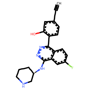 C#Cc1ccc(-c2nnc(N[C@@H]3CCCNC3)c3cc(F)ccc23)c(O)c1